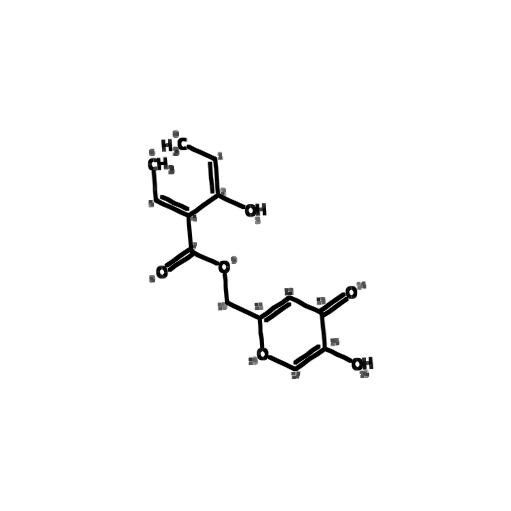 C/C=C(O)\C(=C/C)C(=O)OCc1cc(=O)c(O)co1